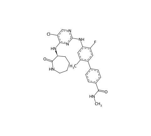 CNC(=O)c1ccc(-c2cc(F)c(Nc3ncc(Cl)c(N[C@H]4CCCCNC4=O)n3)cc2C)cc1